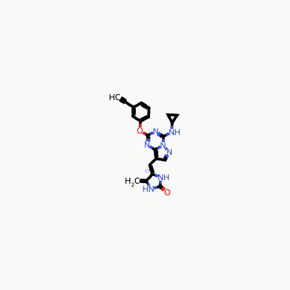 C#Cc1cccc(Oc2nc(NC3CC3)n3ncc(/C=c4\[nH]c(=O)[nH]c4=C)c3n2)c1